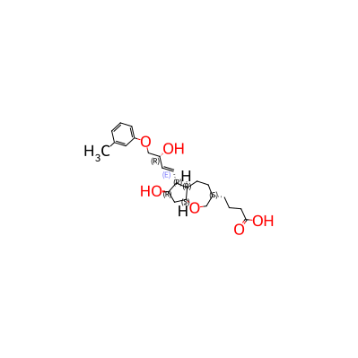 Cc1cccc(OC[C@H](O)/C=C/[C@@H]2[C@H]3CC[C@H](CCCC(=O)O)CO[C@H]3C[C@H]2O)c1